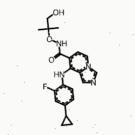 CC(C)(CO)ONC(=O)c1ccn2cncc2c1Nc1ccc(C2CC2)cc1F